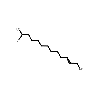 CC(C)CCCCCCCC/C=C/CO